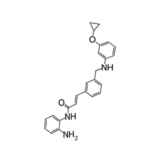 Nc1ccccc1NC(=O)/C=C/c1cccc(CNc2cccc(OC3CC3)c2)c1